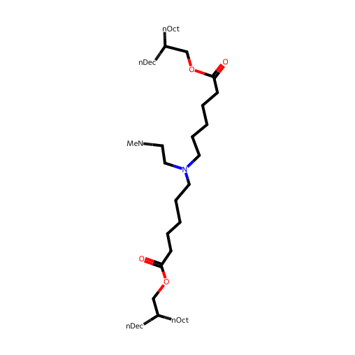 CCCCCCCCCCC(CCCCCCCC)COC(=O)CCCCCN(CCCCCC(=O)OCC(CCCCCCCC)CCCCCCCCCC)CCNC